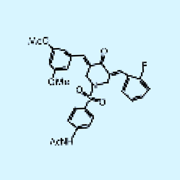 COc1cc(C=C2CN(S(=O)(=O)c3ccc(NC(C)=O)cc3)CC(=Cc3ccccc3F)C2=O)cc(OC)c1